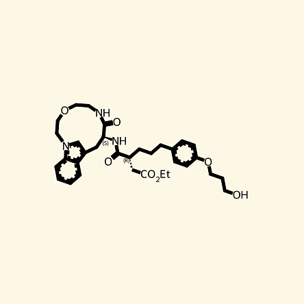 CCOC(=O)C[C@@H](CCCc1ccc(OCCCO)cc1)C(=O)N[C@H]1Cc2cn(c3ccccc23)CCOCCNC1=O